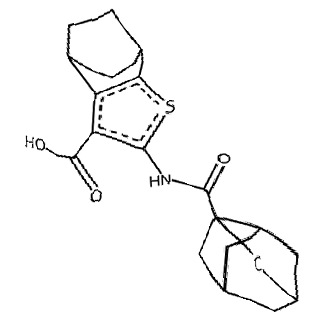 O=C(O)c1c(NC(=O)C23CC4CC(CC2C4)C3)sc2c1C1CCC2C1